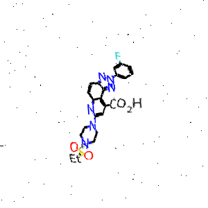 CCS(=O)(=O)N1CCN(c2cc(C(=O)O)c3c(ccc4nn(-c5cccc(F)c5)nc43)n2)CC1